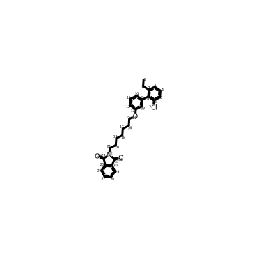 CCc1cccc(Cl)c1-c1cccc(OCCCCCCCN2C(=O)c3ccccc3C2=O)c1